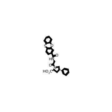 O=C(NCC(=O)N1C[C@H](c2ccccc2)C[C@H]1C(=O)O)c1ccc2c(c1)Oc1ccccc1S2